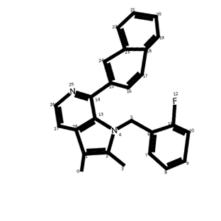 Cc1c(C)n(Cc2ccccc2F)c2c(-c3ccc4ccccc4c3)nccc12